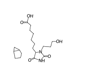 C1CC2CC2C1.O=C(O)CCCCCCC1C(=O)NC(=O)N1CCCO